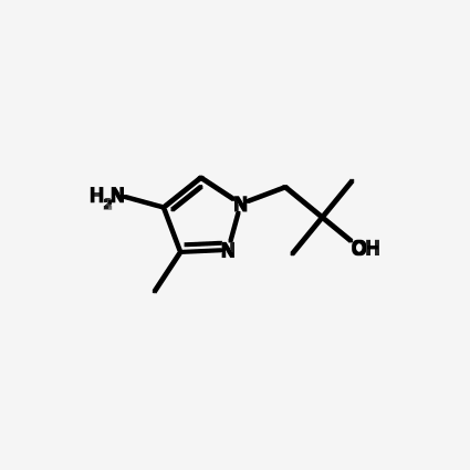 Cc1nn(CC(C)(C)O)cc1N